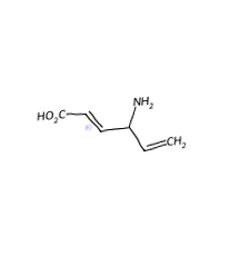 C=CC(N)/C=C/C(=O)O